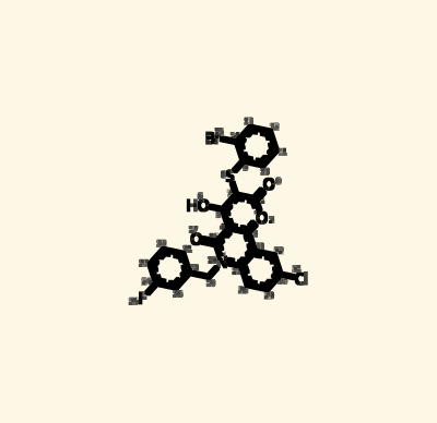 O=c1oc2c(c(O)c1Sc1ccccc1Br)c(=O)n(Cc1cccc(F)c1)c1ccc(Cl)cc21